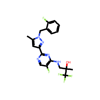 Cc1cc(-c2ncc(F)c(NCC(C)(O)C(F)(F)F)n2)nn1Cc1ccccc1F